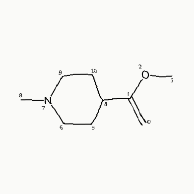 C=C(OC)C1CCN(C)CC1